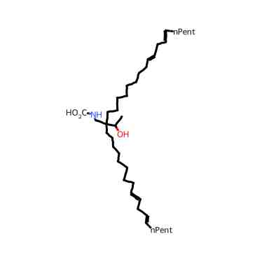 CCCCCC=CCC=CCCCCCCCCC(CCCCCCCCC=CCC=CCCCCC)(CNC(=O)O)C(C)O